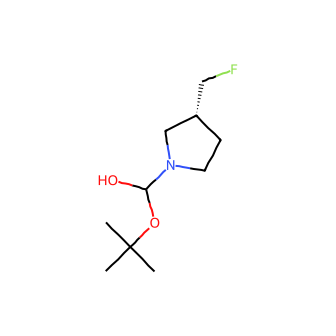 CC(C)(C)OC(O)N1CC[C@@H](CF)C1